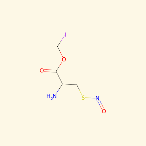 NC(CSN=O)C(=O)OCI